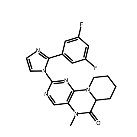 CN1C(=O)C2CCCCN2c2nc(-n3ccnc3-c3cc(F)cc(F)c3)ncc21